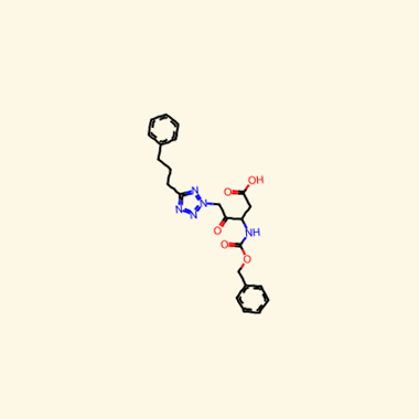 O=C(O)CC(NC(=O)OCc1ccccc1)C(=O)Cn1nnc(CCCc2ccccc2)n1